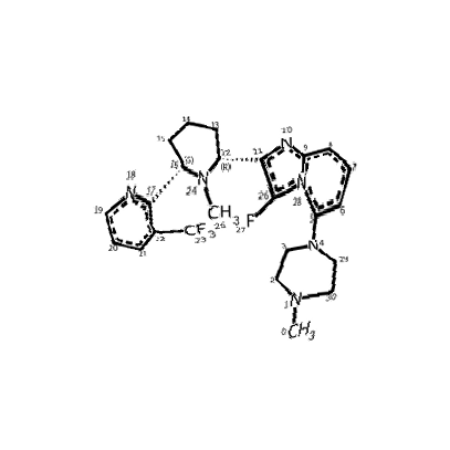 CN1CCN(c2cccc3nc([C@H]4CCC[C@@H](c5ncccc5C(F)(F)F)N4C)c(F)n23)CC1